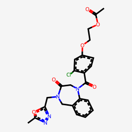 CC(=O)OCCOc1ccc(C(=O)N2CC(=O)N(Cc3nnc(C)o3)Cc3ccccc32)c(Cl)c1